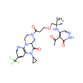 CC(=O)c1c(N[C@@](C)([SiH3])COCCC(=O)N2CCN3c4ncc(C(F)(F)F)cc4N(C4CC4)C(=O)C3C2)cn[nH]c1=O